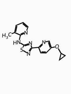 Cc1cccnc1Nc1nc(-c2ccc(OC3CC3)cn2)ns1